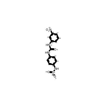 O=C(Nc1ccc(N[SH](=O)=O)cc1)Nc1cccc([N+](=O)[O-])c1